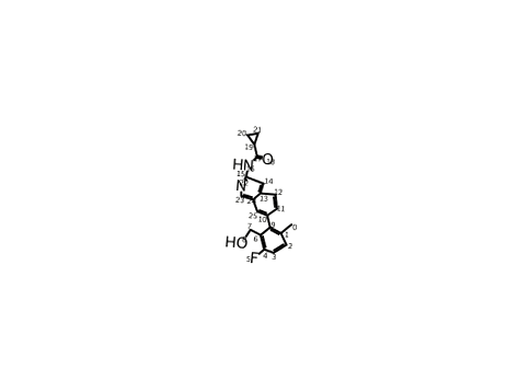 Cc1ccc(F)c(CO)c1-c1ccc2cc(NC(=O)C3CC3)ncc2c1